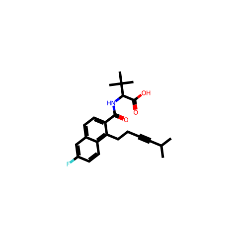 CC(C)C#CCCc1c(C(=O)NC(C(=O)O)C(C)(C)C)ccc2cc(F)ccc12